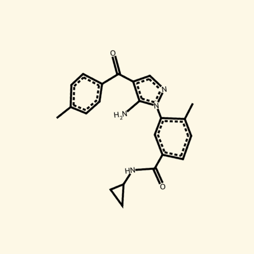 Cc1ccc(C(=O)c2cnn(-c3cc(C(=O)NC4CC4)ccc3C)c2N)cc1